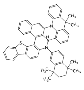 CC1(C)CCC(C)(C)c2cc(N3c4ccc5c(sc6ccccc65)c4-c4c5c(cc6ccccc46)N4c6ccccc6C(C)(C)c6cccc(c64)[SH]53)ccc21